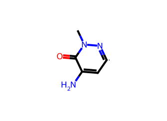 Cn1n[c]cc(N)c1=O